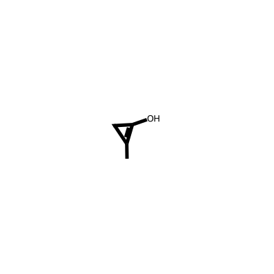 CC1=C(O)C1